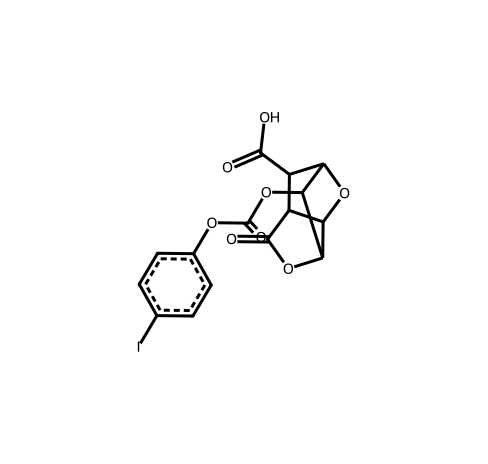 O=C(Oc1ccc(I)cc1)OC1C2OC(=O)C3C2OC1C3C(=O)O